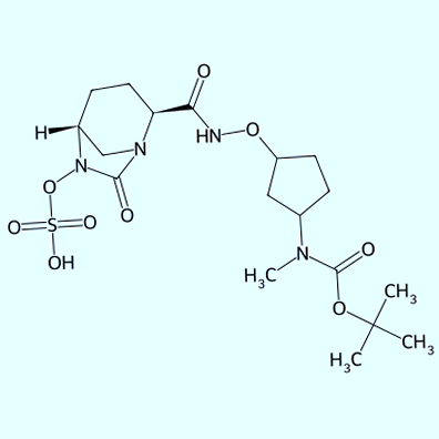 CN(C(=O)OC(C)(C)C)C1CCC(ONC(=O)[C@@H]2CC[C@@H]3CN2C(=O)N3OS(=O)(=O)O)C1